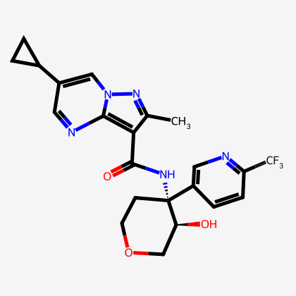 Cc1nn2cc(C3CC3)cnc2c1C(=O)N[C@@]1(c2ccc(C(F)(F)F)nc2)CCOC[C@@H]1O